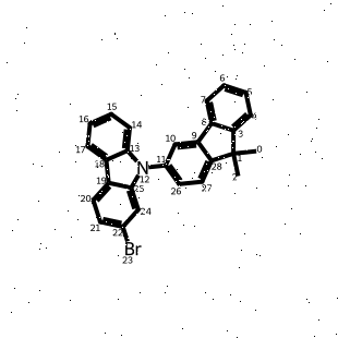 CC1(C)c2ccccc2-c2cc(-n3c4ccccc4c4ccc(Br)cc43)ccc21